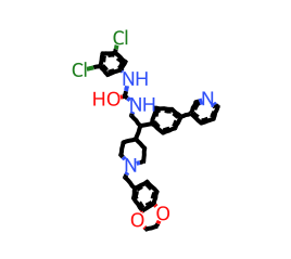 OC(NCC(c1ccc(-c2cccnc2)cc1)C1CCN(Cc2ccc3c(c2)OCCO3)CC1)Nc1cc(Cl)cc(Cl)c1